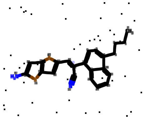 CCCCc1ccc(/C(C#N)=C/c2cc3sc(N)cc3s2)c2ccccc12